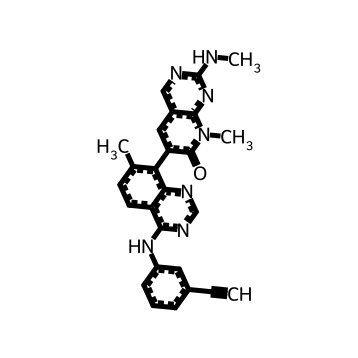 C#Cc1cccc(Nc2ncnc3c(-c4cc5cnc(NC)nc5n(C)c4=O)c(C)ccc23)c1